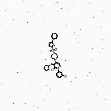 O=c1c(OC2CCCC2)c(N2CCN(S(=O)(=O)c3ccc(-c4ccccc4)s3)CC2)cnn1-c1cccc(Cl)c1